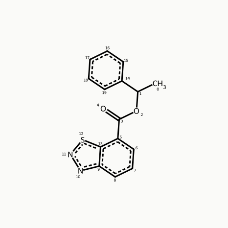 CC(OC(=O)c1cccc2nnsc12)c1ccccc1